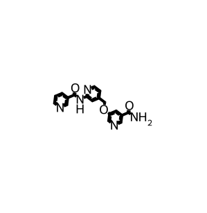 NC(=O)c1cncc(OCc2ccnc(NC(=O)c3cccnc3)c2)c1